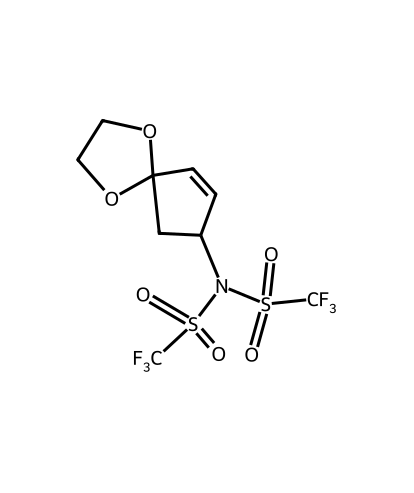 O=S(=O)(N(C1C=CC2(C1)OCCO2)S(=O)(=O)C(F)(F)F)C(F)(F)F